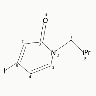 CC(C)Cn1ccc(I)cc1=O